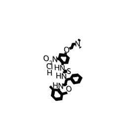 Cc1cccc(C)c1NC(=O)C(NC(=S)Nc1ccc(OCCN(C)C)cc1[N+](=O)[O-])c1ccccc1.Cl